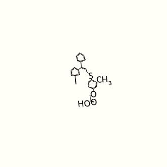 Cc1cc(OCC(=O)O)ccc1SCC=C(c1ccccc1)c1cccc(I)c1